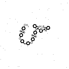 Cc1ccc(S(=O)(=O)c2ccc(Oc3ccc(Cc4ccc(Oc5ccc(S(=O)(=O)c6ccc(-n7c(-c8cccc(-c9nc%10ccccc%10n9C)n8)nc8ccccc87)cc6)cc5)cc4)cc3)cc2)cc1